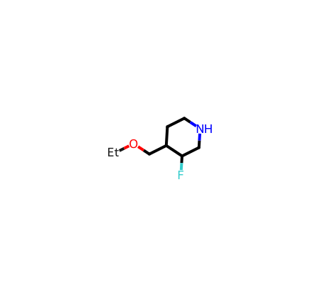 CCOCC1CCNCC1F